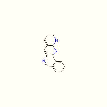 c1cnc2nc3c(cc2c1)ncc1ccccc13